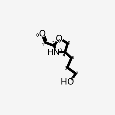 O=CC1NC(CCCO)CO1